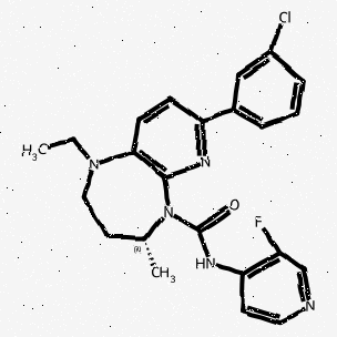 CCN1CC[C@@H](C)N(C(=O)Nc2ccncc2F)c2nc(-c3cccc(Cl)c3)ccc21